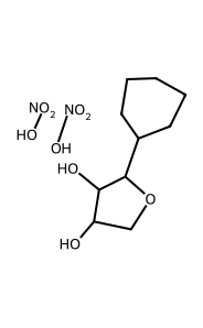 O=[N+]([O-])O.O=[N+]([O-])O.OC1COC(C2CCCCC2)C1O